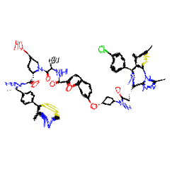 Cc1ncsc1-c1ccc([C@H](C)NC(=O)[C@@H]2C[C@@H](O)CN2C(=O)C(NC(=O)c2cc3ccc(O[C@H]4C[C@H](NC(=O)C[C@@H]5N=C(c6ccc(Cl)cc6)c6c(sc(C)c6C)-n6c(C)nnc65)C4)cc3o2)C(C)(C)C)cc1